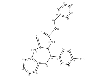 O=C(NC1C(=O)Nc2ccccc2SC1c1ccc(Cl)cc1)OCc1ccccc1